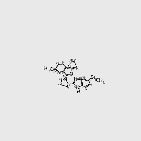 CSc1ccc2[nH]c([C@@H]3CCCN3C(=O)c3nc(C)ccc3-n3cccn3)nc2c1